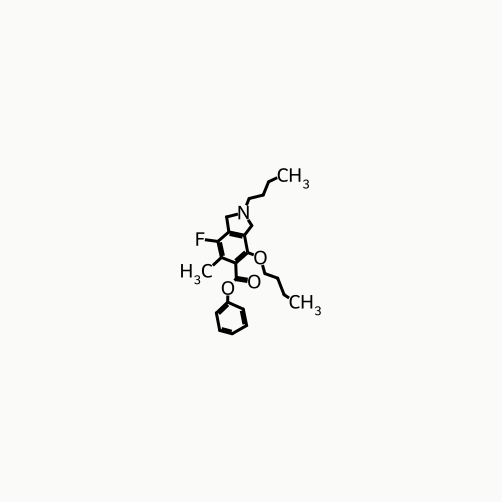 CCCCOc1c2c(c(F)c(C)c1C(=O)Oc1ccccc1)CN(CCCC)C2